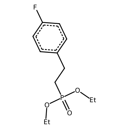 CCOP(=O)(CCc1ccc(F)cc1)OCC